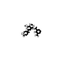 COc1nc(C2(C)CCS(=O)(=O)CC2)cc2c(NC(C)c3cccc(C(F)F)c3F)ncnc12